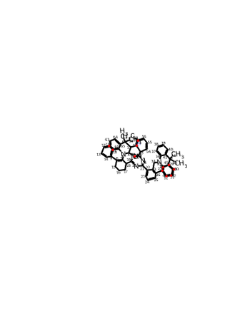 C/C=C\C1C(C)N(C2=C(c3ccccc3)CCCC2c2nc(-c3cccc(-c4ccccc4)c3CN3c4ccccc4C(C)(C)C4C=CC=CC43)nc(C3C=CC=CC3)n2)c2ccccc2C1(C)C